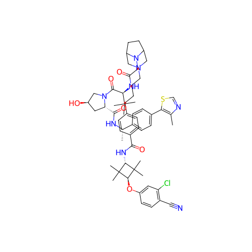 Cc1ncsc1-c1ccc([C@H](C)NC(=O)[C@@H]2C[C@@H](O)CN2C(=O)[C@@H](NC(=O)CN2C3CCC2CN(CCCCc2ccc(C(=O)N[C@H]4C(C)(C)[C@H](Oc5ccc(C#N)c(Cl)c5)C4(C)C)cc2)C3)C(C)(C)C)cc1